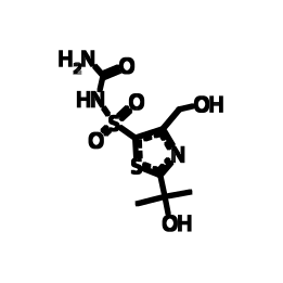 CC(C)(O)c1nc(CO)c(S(=O)(=O)NC(N)=O)s1